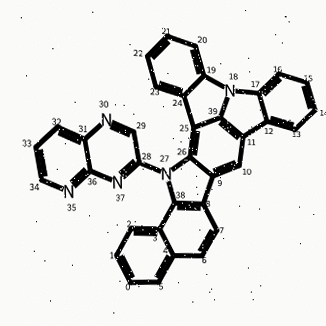 c1ccc2c(c1)ccc1c3cc4c5ccccc5n5c6ccccc6c(c3n(-c3cnc6cccnc6n3)c21)c45